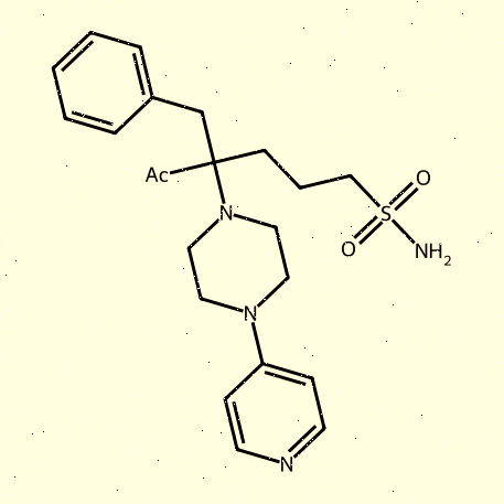 CC(=O)C(CCCS(N)(=O)=O)(Cc1ccccc1)N1CCN(c2ccncc2)CC1